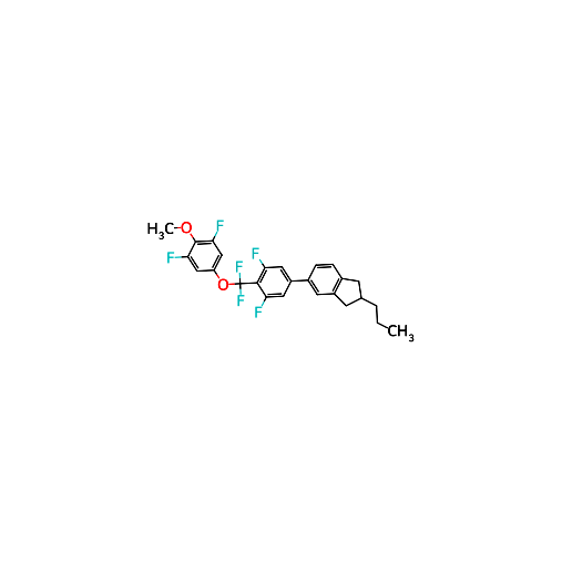 CCCC1Cc2ccc(-c3cc(F)c(C(F)(F)Oc4cc(F)c(OC)c(F)c4)c(F)c3)cc2C1